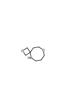 C1CNC2(CCOC1)COC2